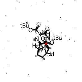 CC(C)(C)OC(=O)N1N=C2C(=C[C@@H]3CC[C@H]2N3C(=O)OC(C)(C)C)NC1=O